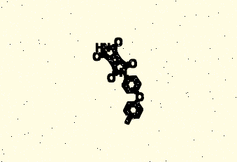 Cc1ccc(Oc2ccc(N3C(=O)C4C5C(=O)NC(=O)C5C4C3=O)cc2)cc1